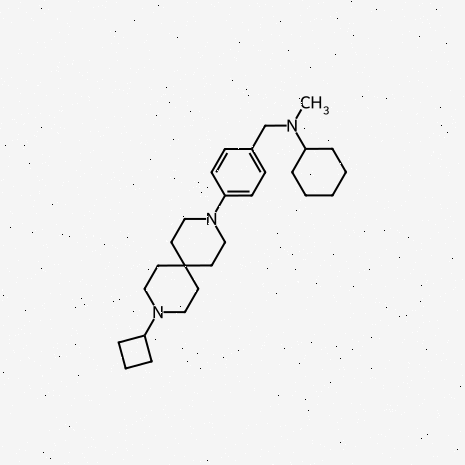 CN(Cc1ccc(N2CCC3(CC2)CCN(C2CCC2)CC3)cc1)C1CCCCC1